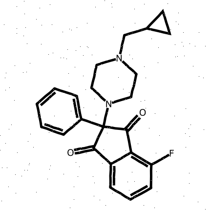 O=C1c2cccc(F)c2C(=O)C1(c1ccccc1)N1CCN(CC2CC2)CC1